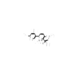 COc1nc(C(C)C)ccc1-c1nc2c(C)cn(C(C)C)c2cc1C